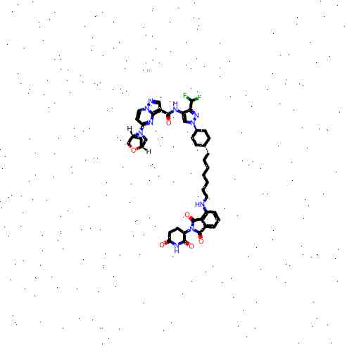 O=C1CCC(N2C(=O)c3cccc(NCCCCCCC[C@H]4CC[C@H](n5cc(NC(=O)c6cnn7ccc(N8C[C@H]9C[C@@H]8CO9)nc67)c(C(F)F)n5)CC4)c3C2=O)C(=O)N1